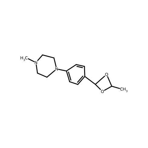 CC1OC(c2ccc(N3CCN(C)CC3)cc2)O1